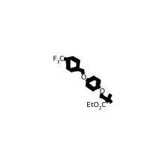 CCOC(=O)C(C)(C)COc1ccc(OCc2ccc(C(F)(F)F)cc2)cc1